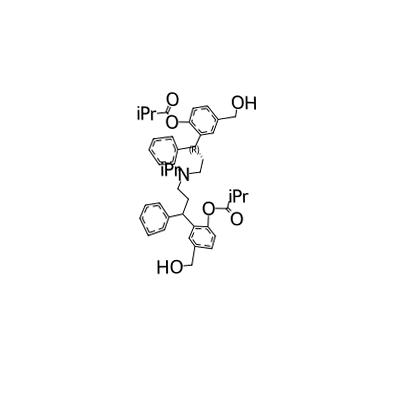 CC(C)C(=O)Oc1ccc(CO)cc1C(CCN(CC[C@H](c1ccccc1)c1cc(CO)ccc1OC(=O)C(C)C)C(C)C)c1ccccc1